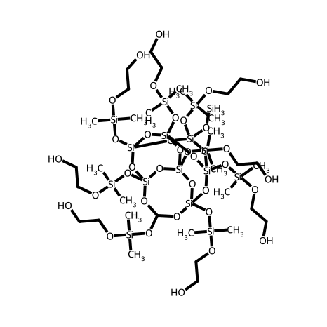 C[Si](C)(OCCO)OC1O[Si]2(O[Si](C)(C)OCCO)O[Si]3(O[Si](C)(C)OCCO)O[Si](O[SiH3])(O[Si](C)(C)OCCO)O[Si]4(O[Si](C)(C)OCCO)O[Si](O[Si](C)(C)OCCO)(O1)O[Si](O[Si](C)(C)OCCO)(O2)O[Si](O[Si](C)(C)OCCO)(O3)O4